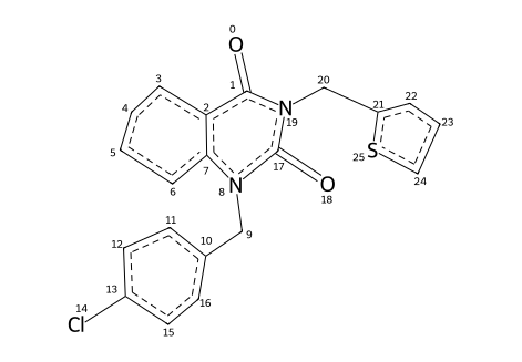 O=c1c2ccccc2n(Cc2ccc(Cl)cc2)c(=O)n1Cc1cccs1